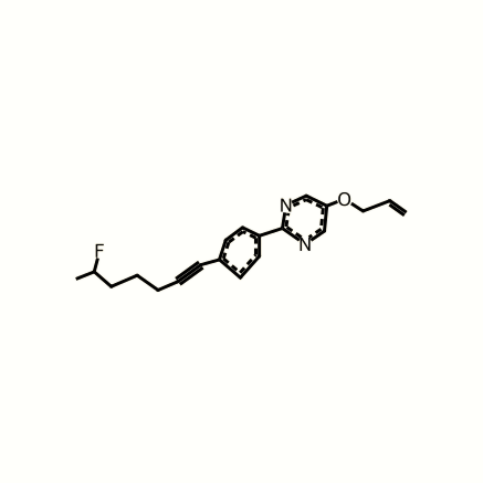 C=CCOc1cnc(-c2ccc(C#CCCCC(C)F)cc2)nc1